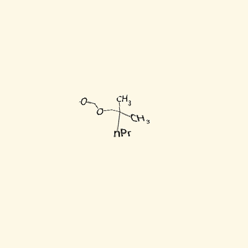 CCCC(C)(C)OC[O]